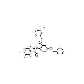 Cc1cc(C)c(C(=O)Pc2ccc(OCc3ccccc3)cc2OCc2ccccc2)c(C)c1C.[LiH]